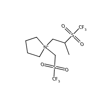 CC(C[N+]1(CS(=O)(=O)C(F)(F)F)CCCC1)S(=O)(=O)C(F)(F)F